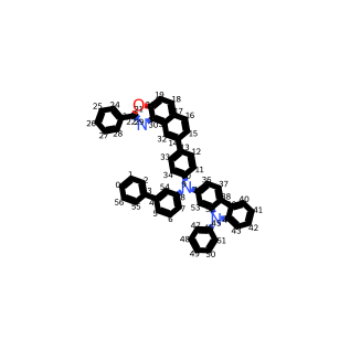 c1ccc(-c2cccc(N(c3ccc(-c4ccc5ccc6oc(-c7ccccc7)nc6c5c4)cc3)c3ccc4c5ccccc5n(-c5ccccc5)c4c3)c2)cc1